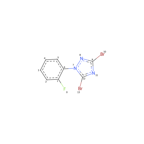 Fc1ccccc1-n1nc(Br)nc1Br